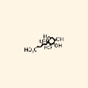 O=C(O)CCC(O)C[C@@]1(O)OC[C@@H](O)[C@H](O)[C@H]1O